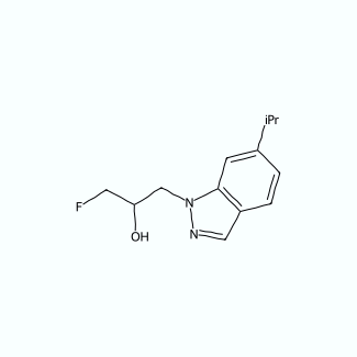 CC(C)c1ccc2cnn(CC(O)CF)c2c1